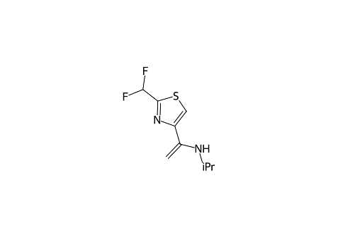 C=C(NC(C)C)c1csc(C(F)F)n1